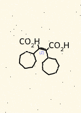 O=C(O)/C(=C(\C(=O)O)C1CCCCCC1)C1CCCCCC1